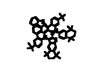 CC(C)(C)c1ccc(N2c3cc4c(sc5ccccc54)c4c3B(c3sc5cc6c(cc5c32)C(C)(C)CCC6(C)C)N(c2ccc3c(c2)C(C)(C)CCC3(C)C)c2cc(C(C)(C)C)ccc2-4)c(-c2ccccc2)c1